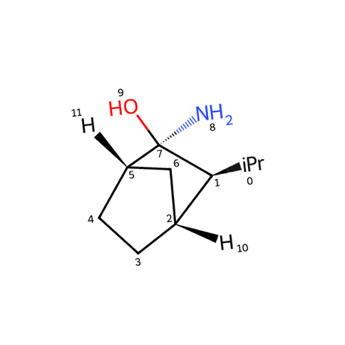 CC(C)[C@H]1[C@@H]2CC[C@@H](C2)[C@@]1(N)O